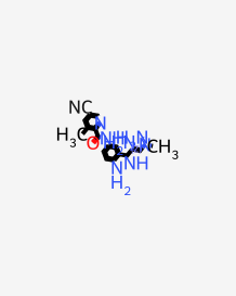 Cc1cc(C#N)cnc1C(=O)Nc1ccc(N)c(C(=N)/C(N)=C/N(C)N)c1